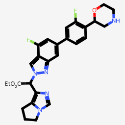 CCOC(=O)C(c1ncn2c1CCC2)n1cc2c(F)cc(-c3ccc(C4CNCCO4)c(F)c3)cc2n1